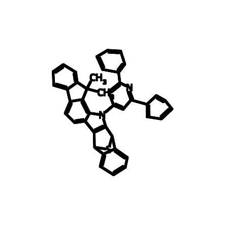 CC1(C)c2ccccc2-c2ccc3c4c(n(-c5cc(-c6ccccc6)nc(-c6ccccc6)c5)c3c21)C1SC4c2ccccc21